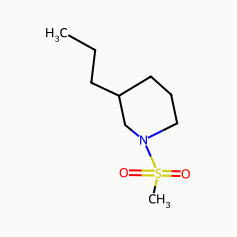 CCCC1CCCN(S(C)(=O)=O)C1